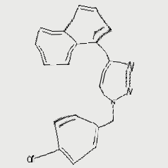 Clc1ccc(Cn2cc(-c3cccc4ccccc34)nn2)cc1